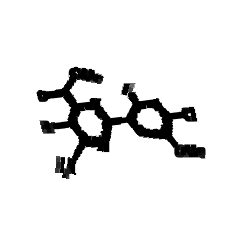 COC(=O)c1nc(-c2cc(OC)c(Cl)cc2F)nc(N)c1Br